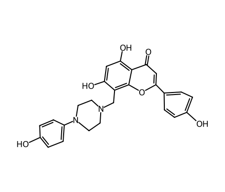 O=c1cc(-c2ccc(O)cc2)oc2c(CN3CCN(c4ccc(O)cc4)CC3)c(O)cc(O)c12